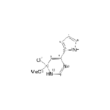 COC1(Cl)C=C(c2ccc[nH]2)N=CN1